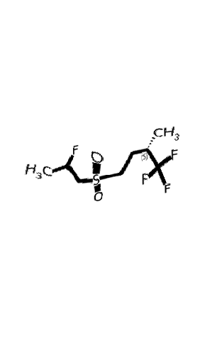 CC(F)CS(=O)(=O)CC[C@H](C)C(F)(F)F